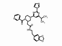 CC(C)c1cc(N2CCN(C(=O)c3cccnc3)C(CC(=O)NCCc3ccc4c(c3)OCO4)C2)nc(-n2ccnc2)n1